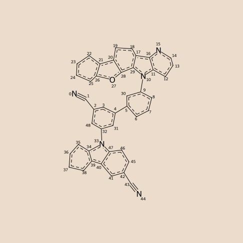 N#Cc1cc(-c2cccc(-n3c4cccnc4c4ccc5c6ccccc6oc5c43)c2)cc(-n2c3ccccc3c3cc(C#N)ccc32)c1